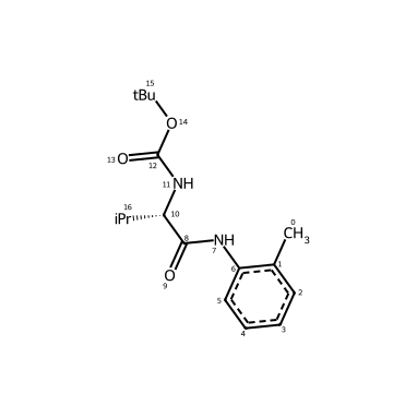 Cc1ccccc1NC(=O)[C@@H](NC(=O)OC(C)(C)C)C(C)C